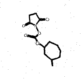 CC1CCCCC(OC(=O)ON2C(=O)CCC2=O)C1